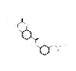 C[C@H]1Sc2ccc(C(=O)Nc3cccc(SN(C)C)c3)cc2NC1=O